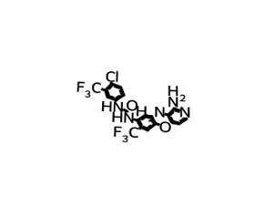 Nc1nccc(Oc2ccc(NC(=O)Nc3ccc(Cl)c(C(F)(F)F)c3)c(C(F)(F)F)c2)c1N